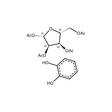 CC(=O)OC[C@H]1O[C@@H](OC(C)=O)[C@H](OC(C)=O)[C@@H]1OC(C)=O.Oc1ccccc1O